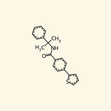 CC(C)(NC(=O)c1ccc(-c2cccs2)cc1)c1ccccc1